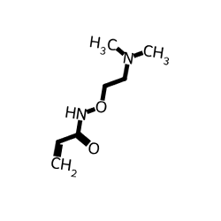 C=CC(=O)NOCCN(C)C